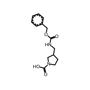 O=C(NCC1CCN(C(=O)O)C1)OCc1ccccc1